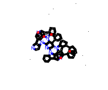 Cc1ccccc1-c1c(-n2c3ccccc3c3cnccc32)c(-n2c3ccccc3c3cnccc32)nc(-n2c3ccccc3c3cnccc32)c1-n1c2cccc(-c3ccccc3)c2c2c(-c3ccccc3)cccc21